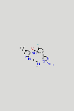 CN(C)CCCN(C)c1ncc(C(F)(F)F)cc1NC(=O)c1cc(-c2cnc(N)nc2)ccc1F